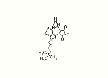 C[Si](C)(C)CCOCn1cc(C2=C(c3nc[nH]n3)C(=O)NC2=O)c2cccnc21